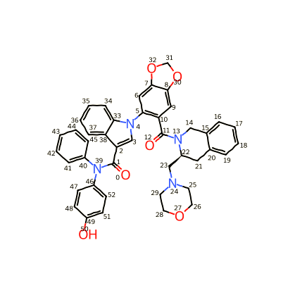 O=C(c1cn(-c2cc3c(cc2C(=O)N2Cc4ccccc4C[C@H]2CN2CCOCC2)OCO3)c2ccccc12)N(c1ccccc1)c1ccc(O)cc1